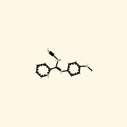 COc1ccc(/N=C(\NC#N)c2ccccn2)cc1